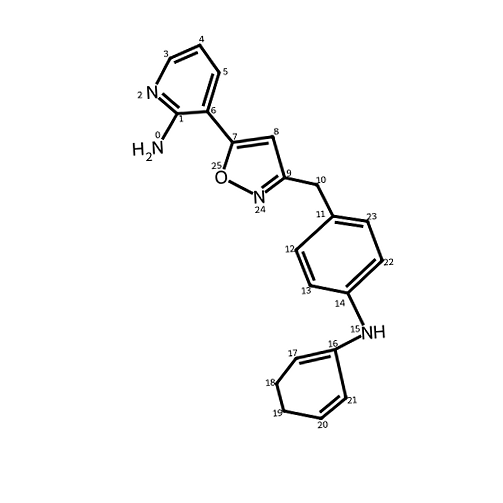 Nc1ncccc1-c1cc(Cc2ccc(NC3=CCCC=C3)cc2)no1